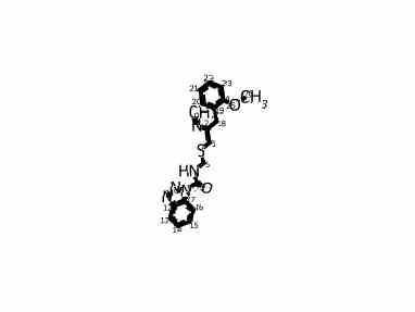 C=N/C(=C\SCNC(=O)n1nnc2ccccc21)Cc1ccccc1OC